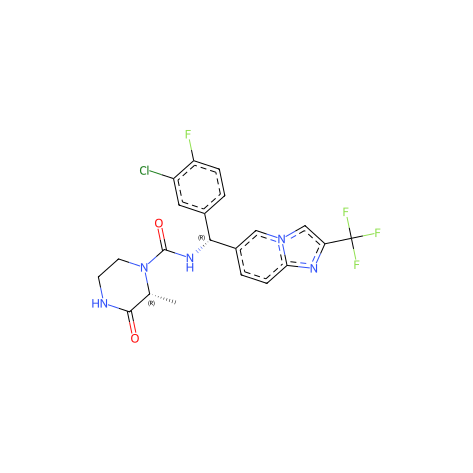 C[C@@H]1C(=O)NCCN1C(=O)N[C@H](c1ccc(F)c(Cl)c1)c1ccc2nc(C(F)(F)F)cn2c1